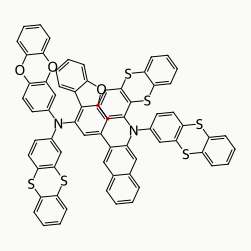 c1ccc2c(c1)Oc1ccc(N(c3ccc4c(c3)Sc3ccccc3S4)c3cc(-c4cc5ccccc5cc4N(c4ccc5c(c4)Sc4ccccc4S5)c4cccc5c4Sc4ccccc4S5)cc4oc5ccccc5c34)cc1O2